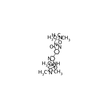 Cc1nc(C)c(S(=O)(=O)Nc2cc(-c3ccc4ncn(C[C@H](C)C(=O)N(C)C)c(=O)c4c3)cnc2C)s1